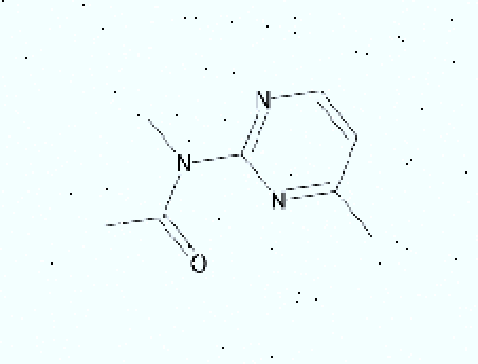 CC(=O)N(C)c1nccc(C)n1